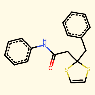 O=C(CC1(Cc2ccccc2)SC=CS1)Nc1ccccc1